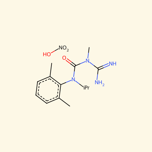 Cc1cccc(C)c1N(C(=O)N(C)C(=N)N)C(C)C.O=[N+]([O-])O